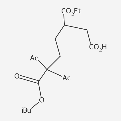 CCOC(=O)C(CCC(C(C)=O)(C(C)=O)C(=O)OC(C)CC)CC(=O)O